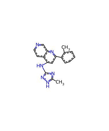 Cc1nc(Nc2cc(-c3ccccc3C)nc3cnccc23)n[nH]1